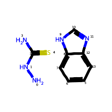 NNC(N)=S.c1ccc2[nH]cnc2c1